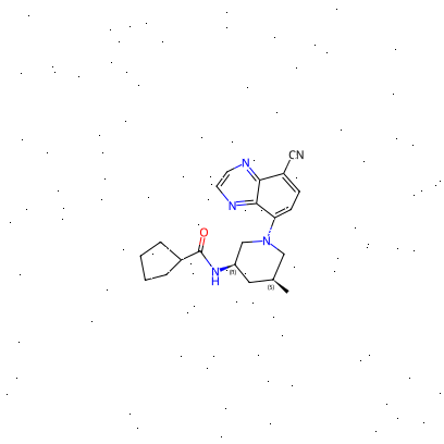 C[C@H]1C[C@@H](NC(=O)C2CCCC2)CN(c2ccc(C#N)c3nccnc23)C1